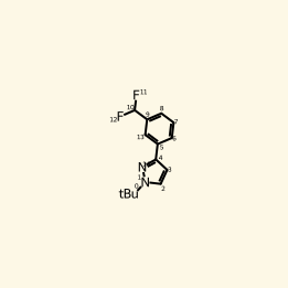 CC(C)(C)n1ccc(-c2cccc(C(F)F)c2)n1